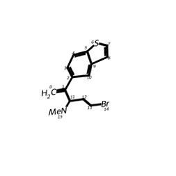 C=C(c1ccc2sccc2c1)C(CCBr)NC